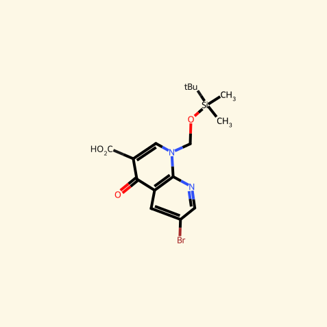 CC(C)(C)[Si](C)(C)OCn1cc(C(=O)O)c(=O)c2cc(Br)cnc21